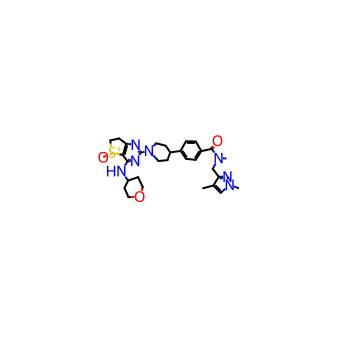 Cc1cn(C)nc1CN(C)C(=O)c1ccc(C2CCN(c3nc4c(c(NC5CCOCC5)n3)[S+]([O-])CC4)CC2)cc1